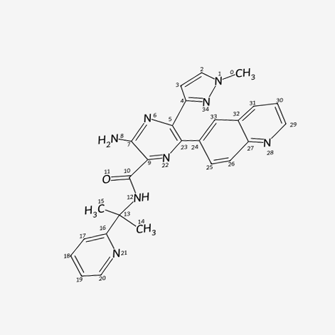 Cn1ccc(-c2nc(N)c(C(=O)NC(C)(C)c3ccccn3)nc2-c2ccc3ncccc3c2)n1